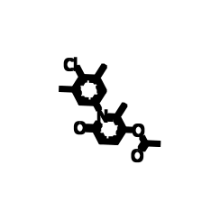 CC(=O)Oc1ccc(=O)n(-c2cc(C)c(Cl)c(C)c2)c1C